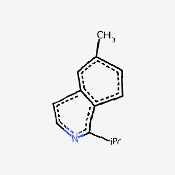 Cc1ccc2c(C(C)C)nccc2c1